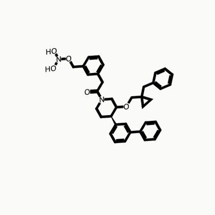 O=C(Cc1cccc(CON(O)O)c1)N1CC[C@H](c2cccc(-c3ccccc3)c2)C(OCC2(Cc3ccccc3)CC2)C1